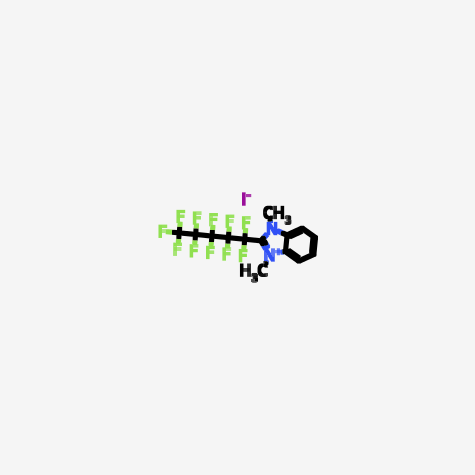 Cn1c(C(F)(F)C(F)(F)C(F)(F)C(F)(F)C(F)(F)F)[n+](C)c2ccccc21.[I-]